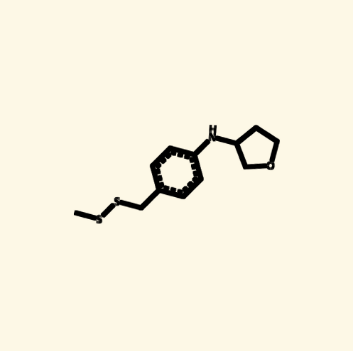 CSSCc1ccc(NC2CCOC2)cc1